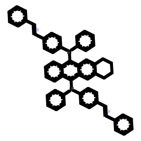 C(=C\c1ccc(N(c2ccccc2)c2c3ccccc3c(N(c3ccccc3)c3ccc(/C=C/c4ccccc4)cc3)c3cc4c(cc23)CCCC4)cc1)/c1ccccc1